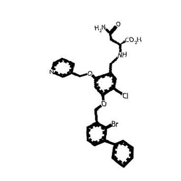 NC(=O)C[C@H](NCc1cc(Cl)c(OCc2cccc(-c3ccccc3)c2Br)cc1OCc1cccnc1)C(=O)O